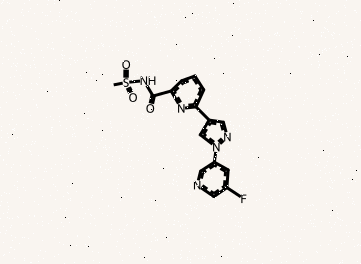 CS(=O)(=O)NC(=O)c1cccc(-c2cnn(-c3cncc(F)c3)c2)n1